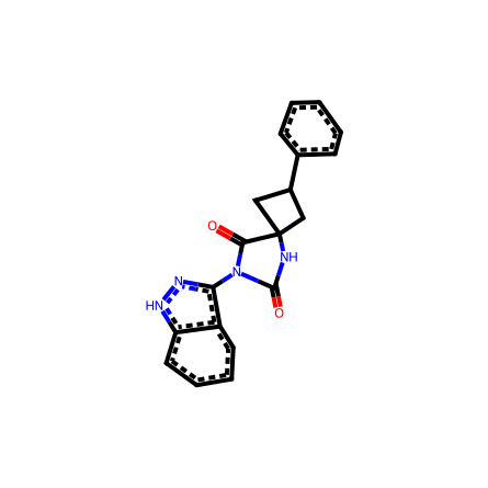 O=C1NC2(CC(c3ccccc3)C2)C(=O)N1c1n[nH]c2ccccc12